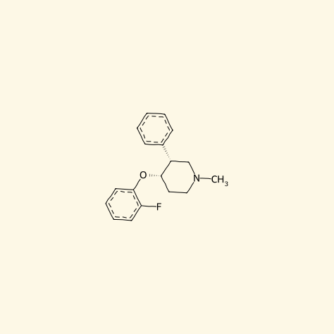 CN1CC[C@H](Oc2ccccc2F)[C@H](c2ccccc2)C1